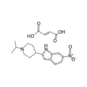 CC(C)N1CCC(c2cc3ccc([N+](=O)[O-])cc3[nH]2)CC1.O=C(O)C=CC(=O)O